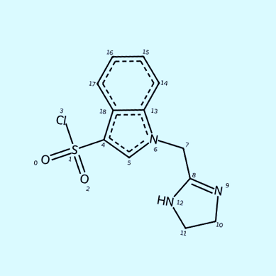 O=S(=O)(Cl)c1cn(CC2=NCCN2)c2ccccc12